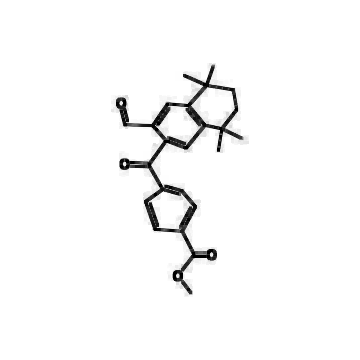 COC(=O)c1ccc(C(=O)c2cc3c(cc2C=O)C(C)(C)CCC3(C)C)cc1